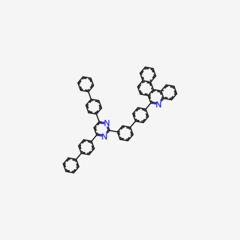 c1ccc(-c2ccc(-c3cc(-c4ccc(-c5ccccc5)cc4)nc(-c4cccc(-c5ccc(-c6nc7ccccc7c7c6ccc6ccccc67)cc5)c4)n3)cc2)cc1